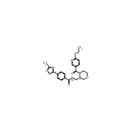 O=C(NC[C@@H]1COCCN1C(=O)c1ccc(OCC(F)(F)F)nc1)c1ccc(-c2noc(C(F)(F)F)n2)cc1